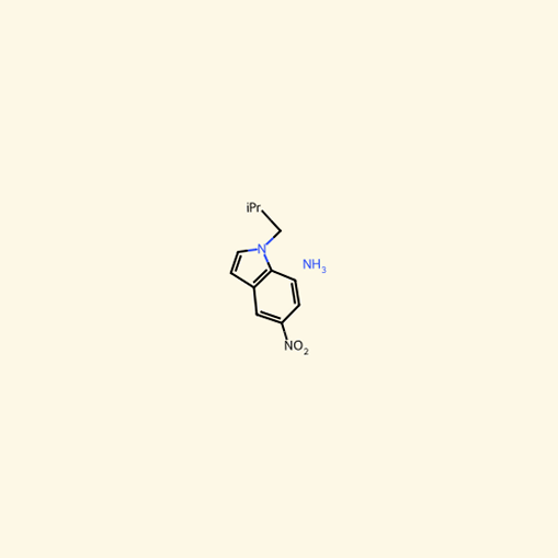 CC(C)Cn1ccc2cc([N+](=O)[O-])ccc21.N